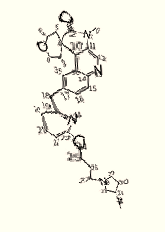 CN1C(=O)C2(CCOCC2)c2c1cnc1ccc(Cc3cccc(OCCCN4CC[C@H](F)C4)n3)cc21